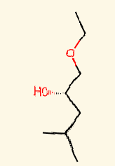 CCOC[C@@H](O)CC(C)C